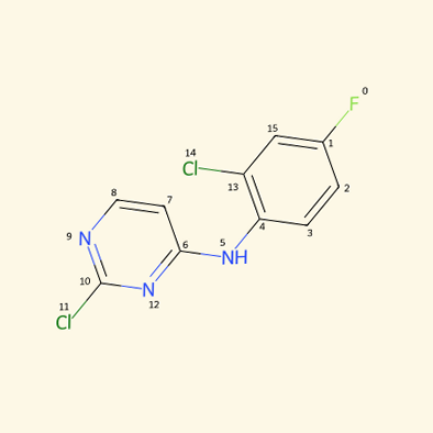 Fc1ccc(Nc2ccnc(Cl)n2)c(Cl)c1